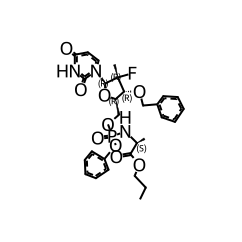 CCCOC(=O)[C@H](C)NP(=O)(OC[C@H]1O[C@@H](n2ccc(=O)[nH]c2=O)[C@](C)(F)[C@@H]1OCc1ccccc1)Oc1ccccc1